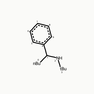 CCCCC(NC(C)(C)C)c1ccccc1